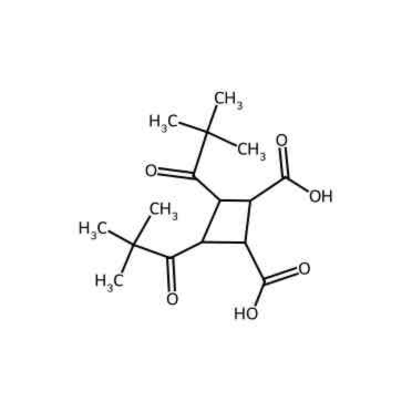 CC(C)(C)C(=O)C1C(C(=O)O)C(C(=O)O)C1C(=O)C(C)(C)C